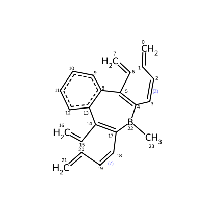 C=C/C=C\C1=C(C=C)c2ccccc2C(C=C)=C(/C=C\C=C)B1C